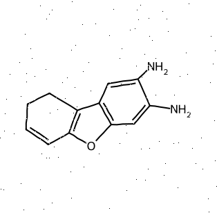 Nc1cc2oc3c(c2cc1N)CCC=C3